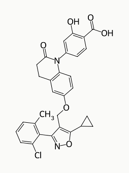 Cc1cccc(Cl)c1-c1noc(C2CC2)c1COc1ccc2c(c1)CCC(=O)N2c1ccc(C(=O)O)c(O)c1